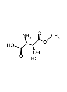 COC(=O)[C@@H](O)[C@H](N)C(=O)O.Cl